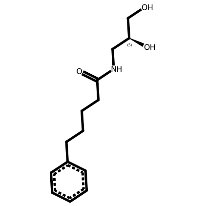 O=C(CCCCc1ccccc1)NC[C@H](O)CO